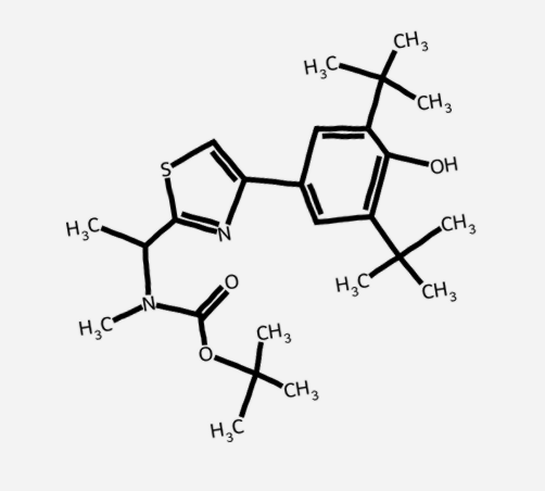 CC(c1nc(-c2cc(C(C)(C)C)c(O)c(C(C)(C)C)c2)cs1)N(C)C(=O)OC(C)(C)C